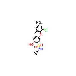 Cc1cc([N+](=O)[O-])cc(Cl)c1Oc1ccc(O)c(S(=O)(=O)NC2CC2)c1